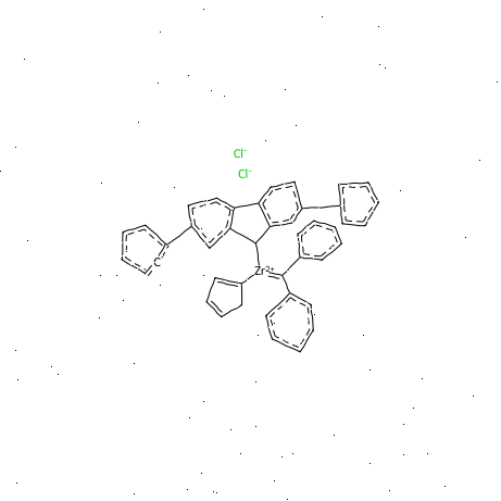 C1=CC[C]([Zr+2](=[C](c2ccccc2)c2ccccc2)[CH]2c3cc(-c4ccccc4)ccc3-c3ccc(-c4ccccc4)cc32)=C1.[Cl-].[Cl-]